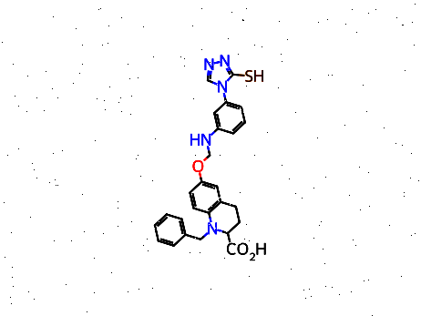 O=C(O)C1CCc2cc(OCNc3cccc(-n4cnnc4S)c3)ccc2N1Cc1ccccc1